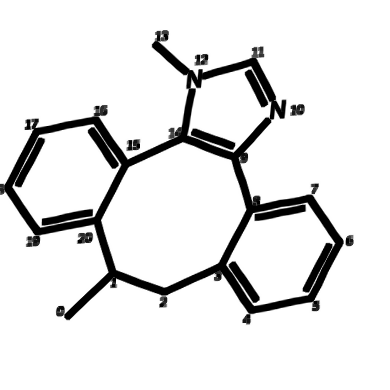 CC1Cc2ccccc2-c2ncn(C)c2-c2ccccc21